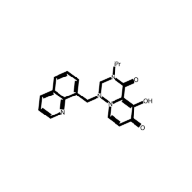 CC(C)N1CN(Cc2cccc3cccnc23)n2ccc(=O)c(O)c2C1=O